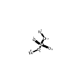 O=S(=O)([O][Tc])[O][Tc]